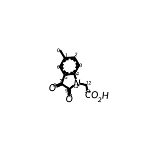 Cc1ccc2c(c1)C(=O)C(=O)N2CC(=O)O